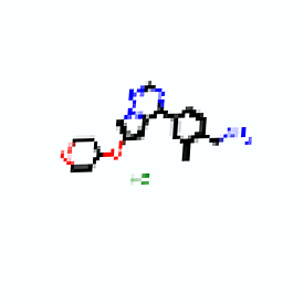 Cc1cc(-c2ncnn3cc(OC4CCOCC4)cc23)ccc1CN.Cl